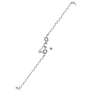 CCCCCCCCCCCCCCCCCCCCCCC=Cc1ccc(N=CC(CCCC)=Nc2ccc(C=CCCCCCCCCCCCCCCCCCCCCCC)cc2)cc1.[Ni]